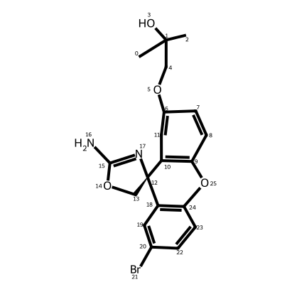 CC(C)(O)COc1ccc2c(c1)[C@]1(COC(N)=N1)c1cc(Br)ccc1O2